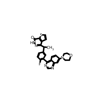 CC(c1ccc(F)c(-c2ncnc3cc(N4CCOCC4)ccc23)c1)c1n[nH]c(=O)c2sccc12